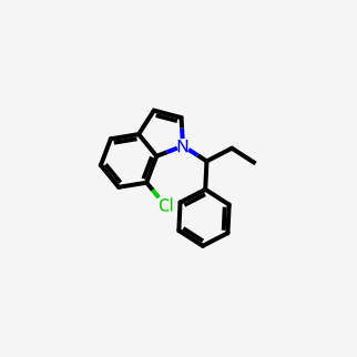 CCC(c1ccccc1)n1ccc2cccc(Cl)c21